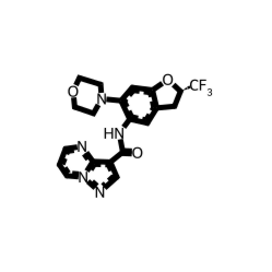 O=C(Nc1cc2c(cc1N1CCOCC1)O[C@H](C(F)(F)F)C2)c1cnn2cccnc12